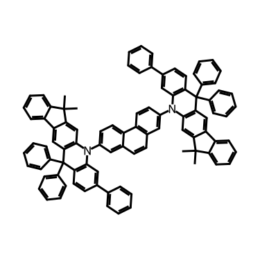 CC1(C)c2ccccc2-c2cc3c(cc21)N(c1ccc2c(ccc4cc(N5c6cc(-c7ccccc7)ccc6C(c6ccccc6)(c6ccccc6)c6cc7c(cc65)C(C)(C)c5ccccc5-7)ccc42)c1)c1cc(-c2ccccc2)ccc1C3(c1ccccc1)c1ccccc1